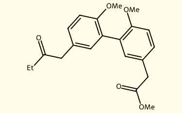 CCC(=O)Cc1ccc(OC)c(-c2cc(CC(=O)OC)ccc2OC)c1